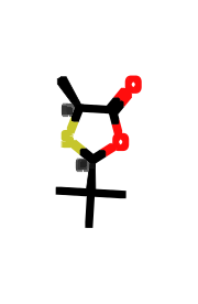 C[C@@H]1S[C@H](C(C)(C)C)OC1=O